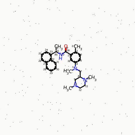 Cc1ccc(N(C)CC2CN(C)CCN2C)cc1C(=O)N[C@H](C)c1cccc2ccccc12